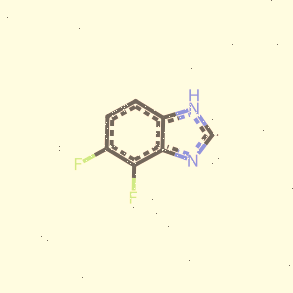 Fc1ccc2[nH][c]nc2c1F